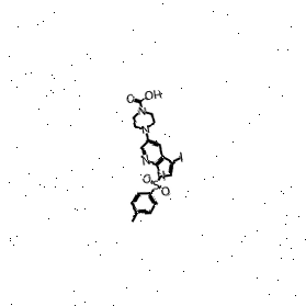 Cc1ccc(S(=O)(=O)n2cc(I)c3cc(N4CCN(C(=O)O)CC4)cnc32)cc1